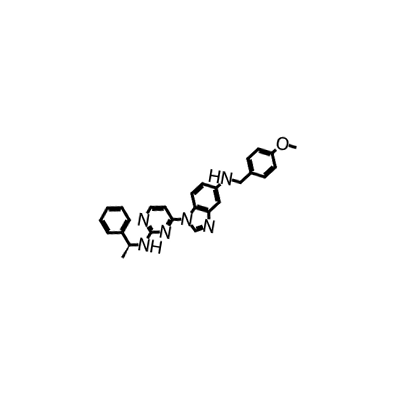 COc1ccc(CNc2ccc3c(c2)ncn3-c2ccnc(N[C@@H](C)c3ccccc3)n2)cc1